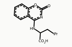 CC(C)CC(Nc1nc(=O)oc2ccccc12)C(=O)O